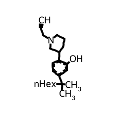 C#CCN1CCCC(c2ccc(C(C)(C)CCCCCC)cc2O)C1